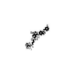 Cn1cnc([N+](=O)[O-])c1C[N+](C)(C)C/C=C/C(=O)Nc1cc2c(Nc3ccc4c(cnn4Cc4cccc(F)c4)c3)ncnc2cn1.[Br-]